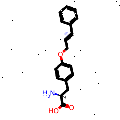 N[C@@H](Cc1ccc(OC/C=C/c2ccccc2)cc1)C(=O)O